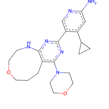 Nc1cc(C2CC2)c(-c2nc3c(c(N4CCOCC4)n2)CCCOCCN3)cn1